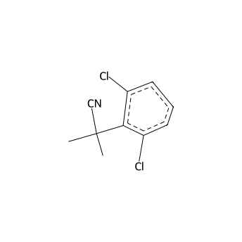 CC(C)(C#N)c1c(Cl)cccc1Cl